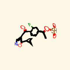 CC(O[SH](=O)=O)c1ccc(C(=O)c2cnoc2C2CC2)c(F)c1